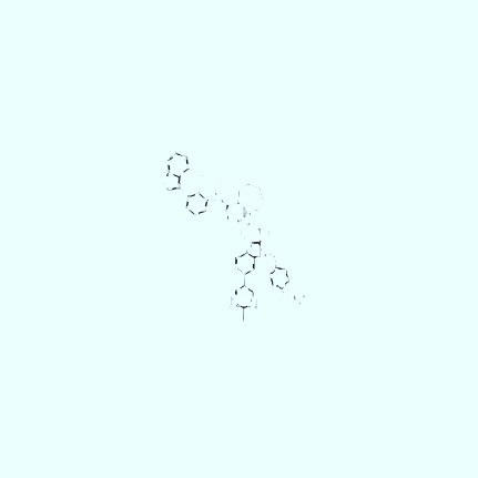 COc1ccc(Cn2c(=O)n(CS(=O)(=O)N3CCCCCC3C(=O)Nc3cccc(-c4csc5ccccc45)c3F)c3ccc(-c4cnc(C)nc4)cc32)cc1